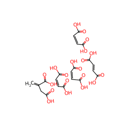 C=C(CC(=O)O)C(=O)O.O=C(O)/C=C/C(=O)O.O=C(O)/C=C\C(=O)O.O=C(O)/C=C\C(=O)O.O=C(O)/C=C\C(=O)O